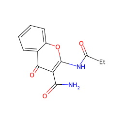 CCC(=O)Nc1oc2ccccc2c(=O)c1C(N)=O